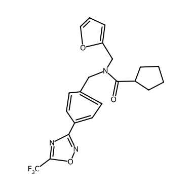 O=C(C1CCCC1)N(Cc1ccc(-c2noc(C(F)(F)F)n2)cc1)Cc1ccco1